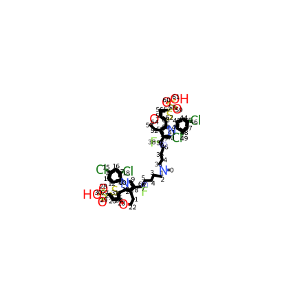 CN(CCC/C=C(\F)c1cn(-c2ccc(Cl)cc2Cl)c2c1CCOc1cc(S(=O)(=O)O)sc1-2)CCC/C=C(\F)c1cn(-c2ccc(Cl)cc2Cl)c2c1CCOc1cc(S(=O)(=O)O)sc1-2